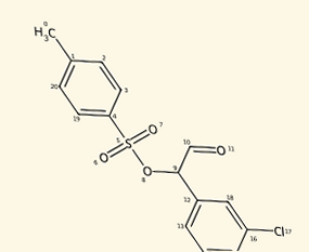 Cc1ccc(S(=O)(=O)OC(C=O)c2cccc(Cl)c2)cc1